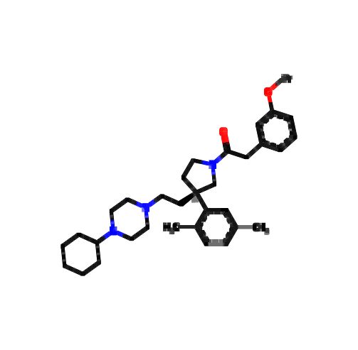 Cc1ccc(C)c([C@]2(CCN3CCN(C4CCCCC4)CC3)CCN(C(=O)Cc3cccc(OC(C)C)c3)C2)c1